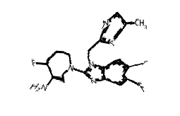 Cc1cnc(Cn2c(N3CCC(F)C(N)C3)nc3cc(F)c(F)cc32)s1